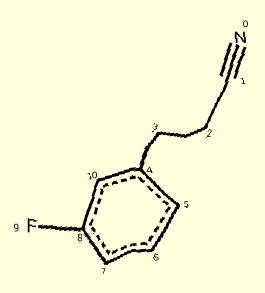 N#CC[CH]c1cccc(F)c1